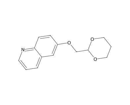 c1cnc2ccc(OCC3OCCCO3)cc2c1